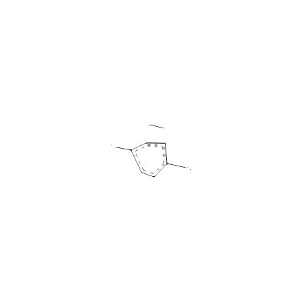 Nc1ccc(N)cc1.[Cu][I]